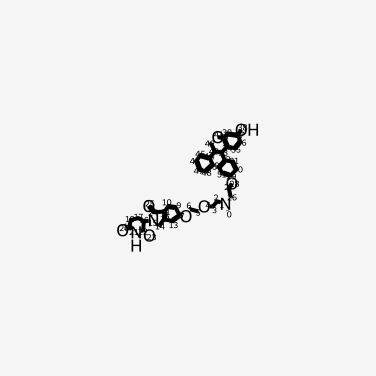 CN(CCOCCOc1ccc2c(c1)CN(C1CCC(=O)NC1=O)C2=O)CCOc1ccc(C2c3ccc(O)cc3OCC2c2ccccc2)cc1